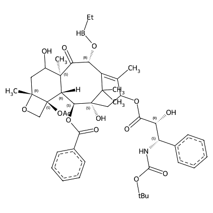 CCBO[C@H]1C(=O)[C@]2(C)C(O)C[C@@]3(C)OC[C@@]3(OC(C)=O)[C@H]2[C@H](OC(=O)c2ccccc2)[C@]2(O)CC(OC(=O)[C@H](O)[C@@H](NC(=O)OC(C)(C)C)c3ccccc3)C(C)=C1C2(C)C